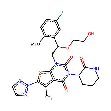 COc1ccc(F)cc1[C@H](Cn1c(=O)n([C@@H]2CCCNC2=O)c(=O)c2c(C)c(-n3nccn3)sc21)OCCO